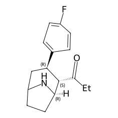 CCC(=O)[C@@H]1[C@H]2CCC(C[C@H]1c1ccc(F)cc1)N2